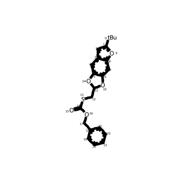 CC(C)(C)c1cc2cc3c(cc2o1)OC(CSC(=O)OCc1ccccc1)O3